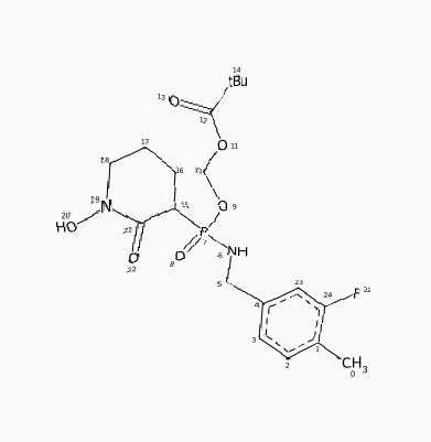 Cc1ccc(CNP(=O)(OCOC(=O)C(C)(C)C)C2CCCN(O)C2=O)cc1F